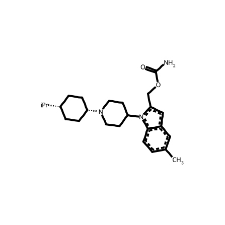 Cc1ccc2c(c1)cc(COC(N)=O)n2C1CCN([C@H]2CC[C@@H](C(C)C)CC2)CC1